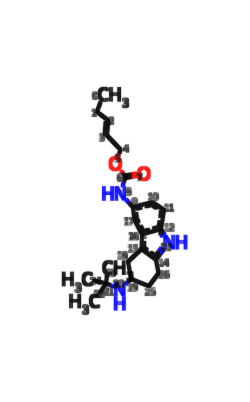 CCC=CCOC(=O)Nc1ccc2[nH]c3c(c2c1)CC(NC(C)(C)C)CC3